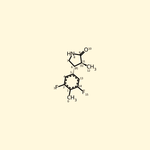 Cc1c(F)cc([C@@H]2CNC(=O)[C@H]2C)cc1F